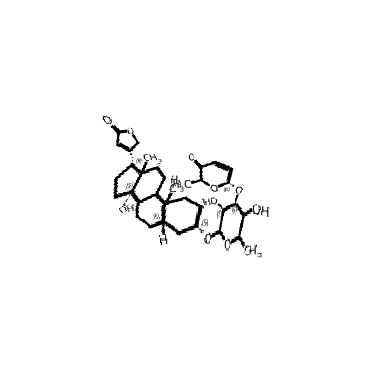 CC1O[C@@H](O[C@H]2C(O)C(C)OC(O[C@H]3CCC4(C)C5CCC6(C)[C@@H](C7=CC(=O)OC7)CC[C@]6(O)C5CC[C@H]4C3)[C@H]2O)C=CC1=O